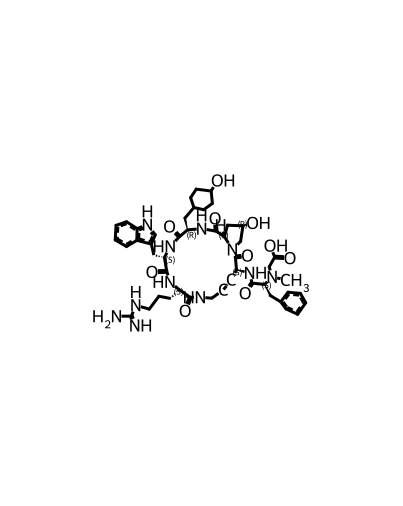 CN(CC(=O)O)[C@@H](Cc1ccccc1)C(=O)N[C@H]1CCCNC(=O)[C@H](CCCNC(=N)N)NC(=O)[C@H](Cc2c[nH]c3ccccc23)NC(=O)[C@@H](CC2CCC(O)CC2)NC(=O)[C@@H]2C[C@@H](O)CN2C1=O